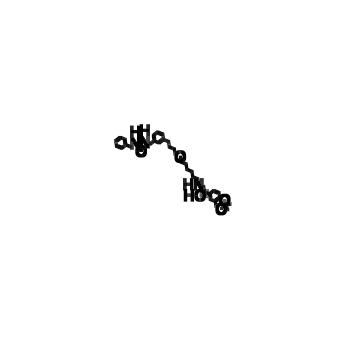 CC1(C)OCc2cc([C@H](O)CNCCCCCCOCCCCc3cccc(CNC(=O)NCc4ccccc4)c3)ccc2O1